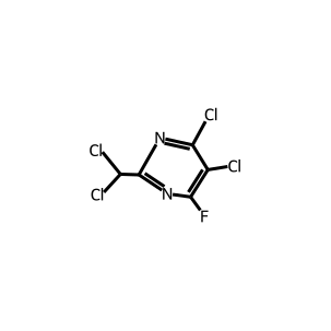 Fc1nc(C(Cl)Cl)nc(Cl)c1Cl